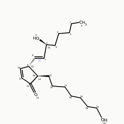 CCCCC[C@H](O)/C=C/[C@H]1C=CC(=O)[C@@H]1CCCCCCCO